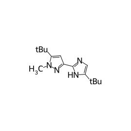 Cn1nc(-c2ncc(C(C)(C)C)[nH]2)cc1C(C)(C)C